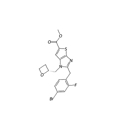 COC(=O)c1cc2c(nc(Cc3ccc(Br)cc3F)n2C[C@H]2CCO2)s1